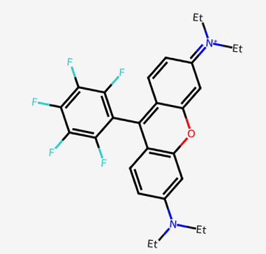 CCN(CC)c1ccc2c(-c3c(F)c(F)c(F)c(F)c3F)c3ccc(=[N+](CC)CC)cc-3oc2c1